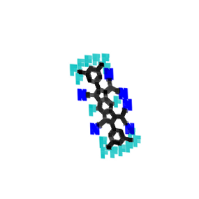 N#CC(C#N)=C1C(c2cc(C(F)(F)F)c(F)c(C(F)(F)F)c2)=C(C#N)c2c(F)c3c(c(F)c21)C(=C(C#N)C#N)C(c1cc(C(F)(F)F)c(F)c(C(F)(F)F)c1)=C3C#N